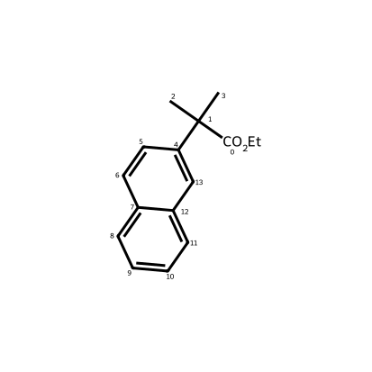 CCOC(=O)C(C)(C)c1ccc2ccccc2c1